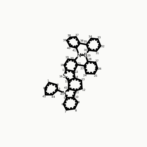 c1ccc(-n2c3ccccc3c3ccc4c(sc5ccc6c(c54)-c4ccccc4B4c5ccccc5-c5ccccc5N46)c32)cc1